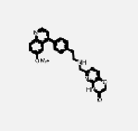 COc1ccc2nccc(-c3ccc(CCNCc4ccc5c(n4)NC(=O)CO5)cc3)c2c1